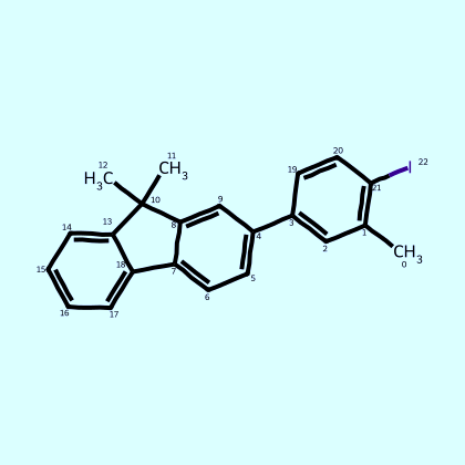 Cc1cc(-c2ccc3c(c2)C(C)(C)c2ccccc2-3)ccc1I